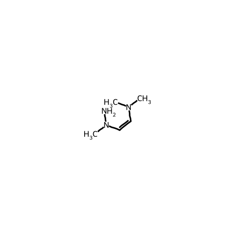 CN(C)/C=C\N(C)N